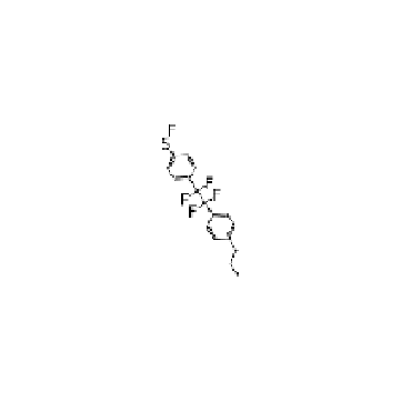 CCCc1ccc(C(F)(F)C(F)(F)c2ccc(SF)cc2)cc1